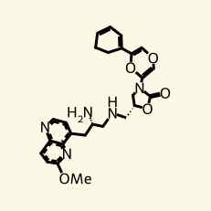 COc1ccc2nccc(C[C@H](N)CNC[C@@H]3CN(C4=COC=C(C5=CC=CCC5)O4)C(=O)O3)c2n1